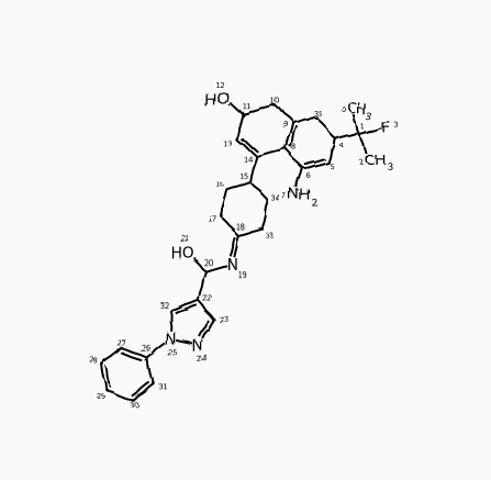 CC(C)(F)C1C=C(N)C2=C(CC(O)C=C2C2CCC(=NC(O)c3cnn(-c4ccccc4)c3)CC2)C1